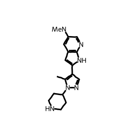 CNc1cnc2[nH]c(-c3cnn(C4CCNCC4)c3C)cc2c1